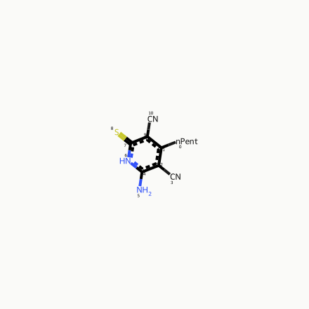 CCCCCc1c(C#N)c(N)[nH]c(=S)c1C#N